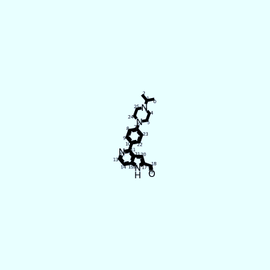 CC(C)N1CCN(c2ccc(-c3nccc4[nH]c(C=O)cc34)cc2)CC1